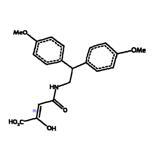 COc1ccc(C(CNC(=O)/C=C(\O)C(=O)O)c2ccc(OC)cc2)cc1